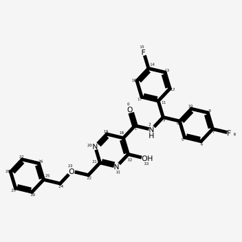 O=C(NC(c1ccc(F)cc1)c1ccc(F)cc1)c1cnc(COCc2ccccc2)nc1O